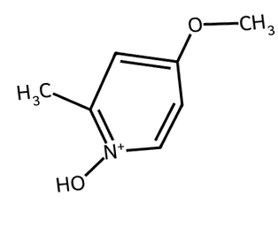 COc1cc[n+](O)c(C)c1